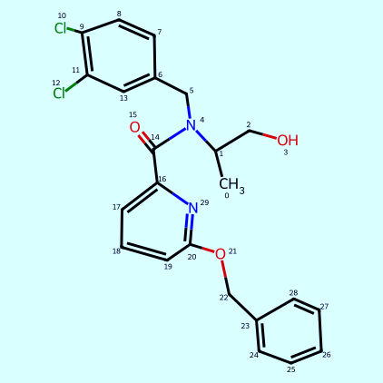 CC(CO)N(Cc1ccc(Cl)c(Cl)c1)C(=O)c1cccc(OCc2ccccc2)n1